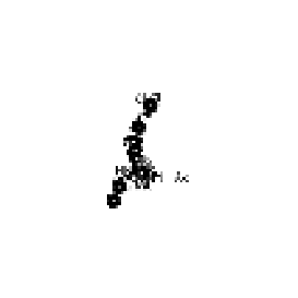 COC(=O)[C@H](Cc1ccc(-c2ccccc2)cc1)NC(=O)C1Cc2cc3c(cc2CN1S(=O)(=O)c1sc(NC(C)=O)nc1C)O[C@@H](c1ccc(OCc2ccc(Cl)c(Cl)c2)cc1)CO3